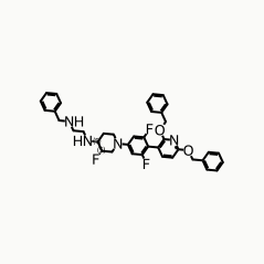 Fc1cc(N2CC[C@H](NCCNCc3ccccc3)[C@@H](F)C2)cc(F)c1-c1ccc(OCc2ccccc2)nc1OCc1ccccc1